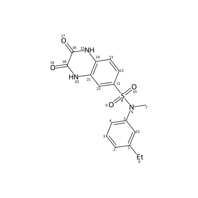 CCc1cccc(N(C)S(=O)(=O)c2ccc3[nH]c(=O)c(=O)[nH]c3c2)c1